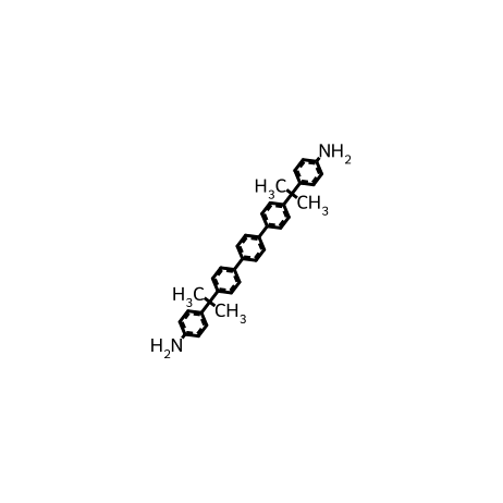 CC(C)(c1ccc(N)cc1)c1ccc(-c2ccc(-c3ccc(C(C)(C)c4ccc(N)cc4)cc3)cc2)cc1